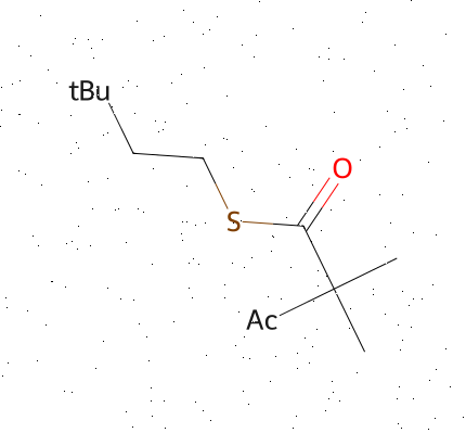 CC(=O)C(C)(C)C(=O)SCCC(C)(C)C